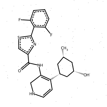 C[C@@H]1C[C@H](O)C[C@H](C2=C(NC(=O)c3csc(-c4c(F)cccc4F)n3)CNC=C2)C1